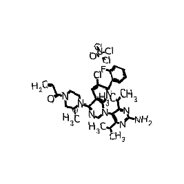 C=CC(=O)N1CCN(C2=NCN(c3c(C(C)C)nc(N)nc3C(C)C)c3nc(-c4ccccc4F)c(Cl)cc32)[C@@H](C)C1.O=P(Cl)(Cl)Cl